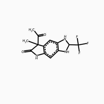 CC(=O)C1(C)C(=O)Nc2cc3c(cc21)NC(C(F)(F)F)N3